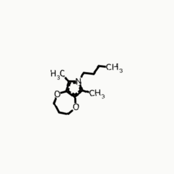 CCCCn1c(C)c2c(c1C)OCCCO2